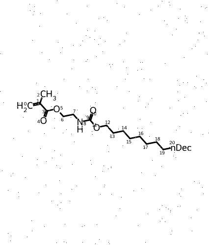 C=C(C)C(=O)OCCNC(=O)OCCCCCCCCCCCCCCCCCC